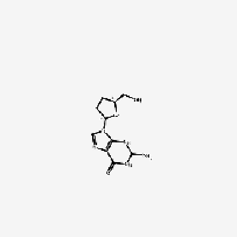 NC1NC(=O)c2ncn([C@H]3CC[C@@H](CO)O3)c2N1